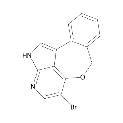 Brc1cnc2[nH]cc3c2c1OCc1ccccc1-3